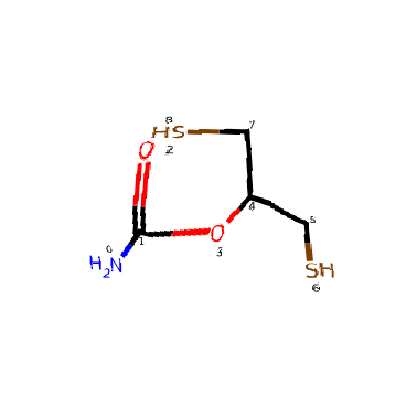 NC(=O)OC(CS)CS